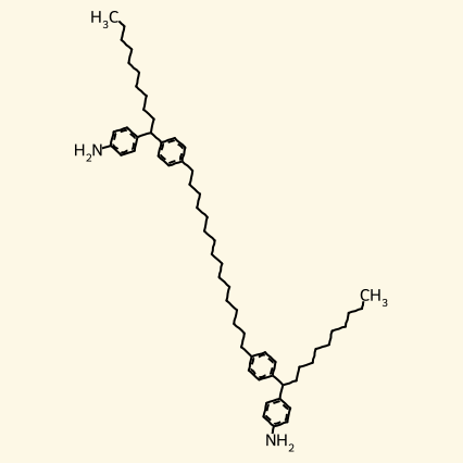 CCCCCCCCCCC(c1ccc(N)cc1)c1ccc(CCCCCCCCCCCCCCCCc2ccc(C(CCCCCCCCCC)c3ccc(N)cc3)cc2)cc1